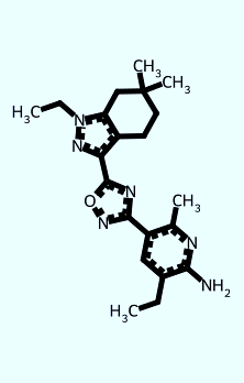 CCc1cc(-c2noc(-c3nn(CC)c4c3CCC(C)(C)C4)n2)c(C)nc1N